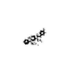 CCN(c1ccccc1)C1CC(N(C)C(=O)Cc2ccc(F)cc2)CCN1